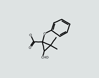 CC1(C)C([C]=O)C1(Oc1ccccc1)C([O])=O